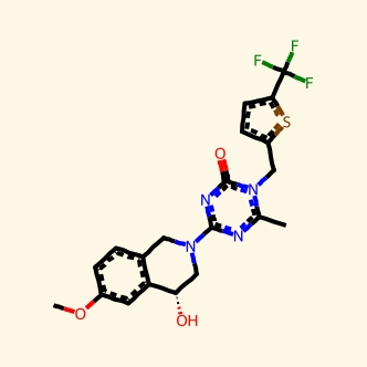 COc1ccc2c(c1)[C@@H](O)CN(c1nc(C)n(Cc3ccc(C(F)(F)F)s3)c(=O)n1)C2